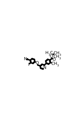 Cc1cc(-c2cc(COc3ccc(C#N)c(I)c3)ccn2)ccc1C(=O)OC(C)(C)C